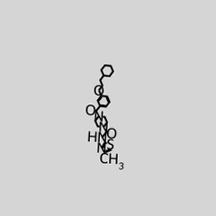 Cc1csc(NC(=O)N2CCN(C(=O)c3cccc(OCCC4CCCCC4)c3)CC2)n1